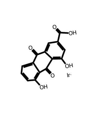 O=C(O)c1cc(O)c2c(c1)C(=O)c1cccc(O)c1C2=O.[Ir]